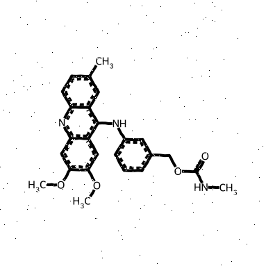 CNC(=O)OCc1cccc(Nc2c3cc(C)ccc3nc3cc(OC)c(OC)cc23)c1